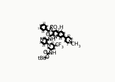 CN1CC=C(c2ccc3cc(N(Cc4ccccc4)C(=O)O)c(C(=O)Nc4cnccc4N4C[C@@H](NC(=O)OC(C)(C)C)C[C@@H](C(F)(F)F)C4)nc3c2)CC1